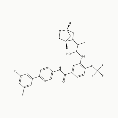 CC(C(O)Nc1cc(C(=O)Nc2ccc(-c3cc(F)cc(F)c3)nc2)ccc1OC(F)(F)F)N1C[C@@H]2C[C@H]1CO2